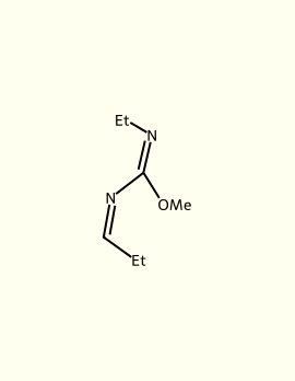 CC/C=N\C(=N/CC)OC